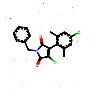 Cc1cc(Cl)cc(C)c1C1=C(Cl)C(=O)N(Cc2ccccc2)C1=O